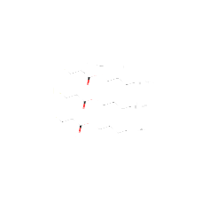 CCCCCCCCCCCCCOC(=O)CCS.CCCCCCCCCCCCCOC(=O)CCS.CCCCCCCCCCCCCOC(=O)CCS.CCCCCCC[CH2][Sn]